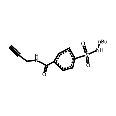 C#CCNC(=O)c1ccc(S(=O)(=O)NCCCC)cc1